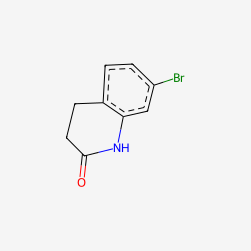 O=C1CCc2ccc(Br)cc2N1